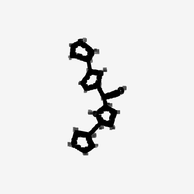 O=C(c1ccc(-c2ccsc2)o1)c1ccc(-c2ccsc2)o1